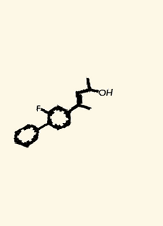 CC(=CC(C)O)c1ccc(-c2ccccc2)c(F)c1